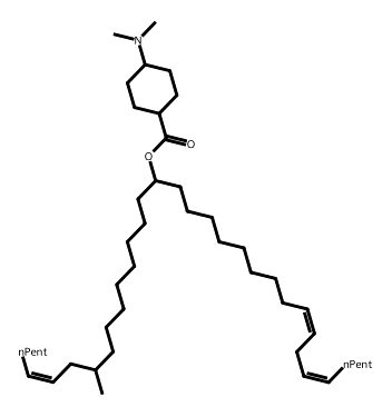 CCCCC/C=C\C/C=C\CCCCCCCCC(CCCCCCCCC(C)C/C=C\CCCCC)OC(=O)C1CCC(N(C)C)CC1